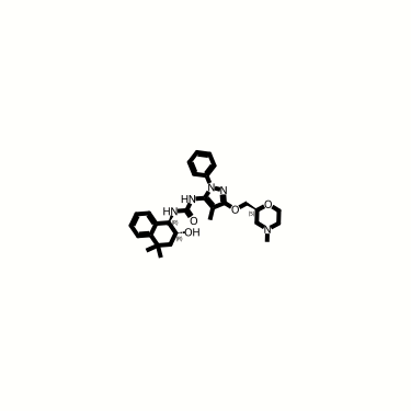 Cc1c(OC[C@@H]2CN(C)CCO2)nn(-c2ccccc2)c1NC(=O)N[C@@H]1c2ccccc2C(C)(C)C[C@H]1O